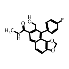 CNC(=O)c1cc2ccc3c(c2c(-c2ccc(F)cc2)c1CO)OCO3